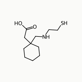 O=C(O)CC1(CNCCS)CCCCC1